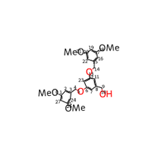 COc1cc(COc2cc(CO)cc(OCc3cc(OC)cc(OC)c3)c2)cc(OC)c1